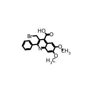 COc1cc2nc(-c3ccccc3)c(CBr)c(C(=O)O)c2cc1OC